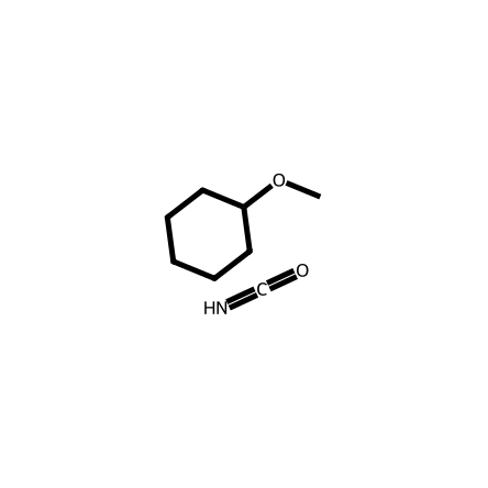 COC1CCCCC1.N=C=O